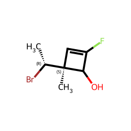 C[C@@H](Br)[C@@]1(C)C=C(F)C1O